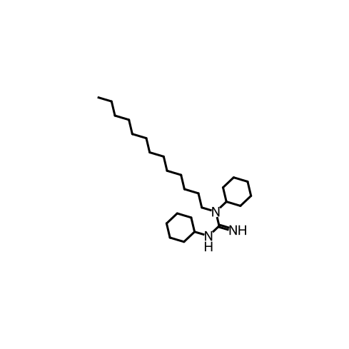 CCCCCCCCCCCCCN(C(=N)NC1CCCCC1)C1CCCCC1